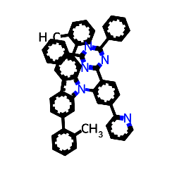 Cc1ccccc1-c1ccc2c3ccc(-c4ccccc4C)cc3n(-c3cc(-c4ccccn4)ccc3-c3nc(-c4ccccc4)nc(-c4ccccc4)n3)c2c1